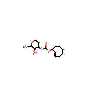 CC1OCCC(NC(=O)OC2/C=C/CCCCC2)C1O